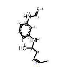 C/C=C\CC(O)Nc1cccc(NC=S)c1